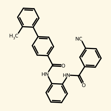 Cc1ccccc1-c1ccc(C(=O)Nc2ccccc2NC(=O)c2cccc(C#N)c2)cc1